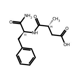 C[C@H](CC(=O)O)C(=O)N[C@@H](Cc1ccccc1)C(N)=O